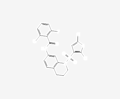 O=C(Nc1ccc2c(c1)N(S(=O)(=O)c1cc(Cl)sc1Cl)CCC2)c1c(F)cccc1Cl